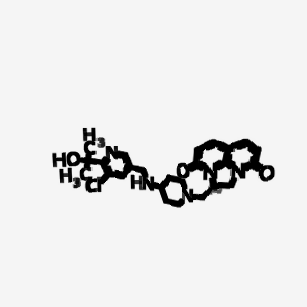 CC(C)(O)c1ncc(CNC2CCN(C[C@@H]3Cn4c(=O)ccc5ccc(=O)n3c54)CC2)cc1Cl